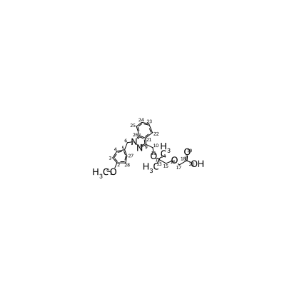 COc1ccc(Cn2nc(COC(C)(C)COCC(=O)O)c3ccccc32)cc1